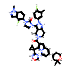 Cc1cc(-n2nc3c(c2-n2ccn(-c4ccc5c(cnn5C)c4F)c2=O)[C@H](C)N(C(=O)c2cc4cc([C@@H]5CCOC(C)(C)C5)ccn4c2C2(C4=NOCN4)CC2)CC3)ccc1F